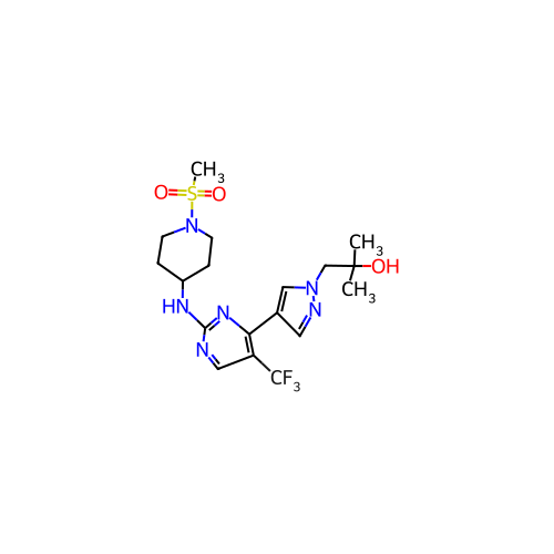 CC(C)(O)Cn1cc(-c2nc(NC3CCN(S(C)(=O)=O)CC3)ncc2C(F)(F)F)cn1